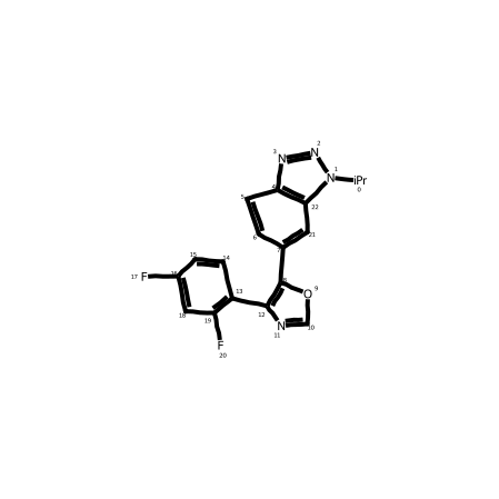 CC(C)n1nnc2ccc(-c3ocnc3-c3ccc(F)cc3F)cc21